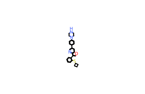 c1ccc(-c2coc3cc(-c4ccc(N5CCNCC5)cc4)cnc23)c(SC2CCC2)c1